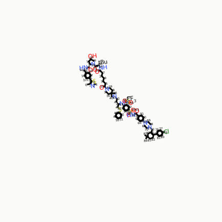 Cc1ncsc1-c1ccc([C@H](C)NC(=O)[C@@H]2C[C@@H](O)CN2C(=O)C(NC(=O)CCCCCC(=O)N2CCC3(CC2)CN(CC[C@H](CSc2ccccc2)Nc2ccc(S(=O)(=O)NC(=O)c4ccc(N5CCN(CC6=C(c7ccc(Cl)cc7)CCC(C)(C)C6)CC5)cc4)cc2S(=O)(=O)C(F)(F)F)C3)C(C)(C)C)cc1